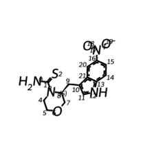 NC(=S)N1CCOC[C@@H]1Cc1c[nH]c2ccc([N+](=O)[O-])cc12